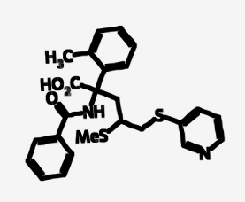 CSC(CSc1cccnc1)CC(NC(=O)c1ccccc1)(C(=O)O)c1ccccc1C